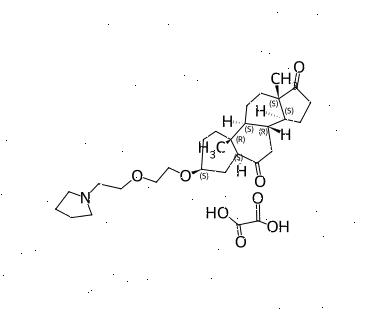 C[C@]12CC[C@H](OCCOCCN3CCCC3)C[C@@H]1C(=O)C[C@@H]1[C@@H]2CC[C@]2(C)C(=O)CC[C@@H]12.O=C(O)C(=O)O